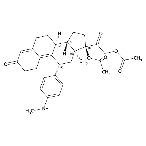 CNc1ccc([C@H]2C[C@@]3(C)[C@@H](CC[C@]3(OC(C)=O)C(=O)COC(C)=O)[C@@H]3CCC4=CC(=O)CCC4=C32)cc1